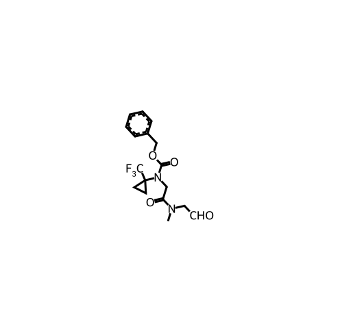 CN(CC=O)C(=O)CN(C(=O)OCc1ccccc1)C1(C(F)(F)F)CC1